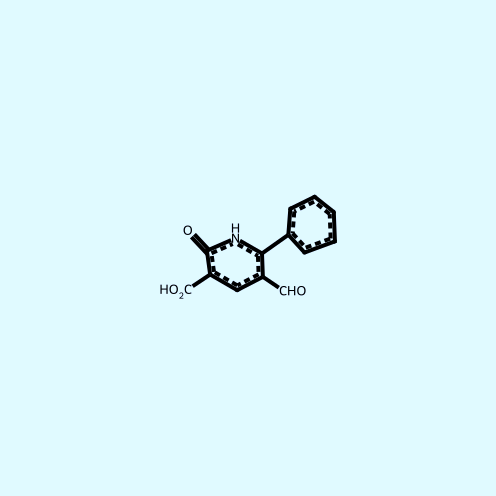 O=Cc1cc(C(=O)O)c(=O)[nH]c1-c1ccccc1